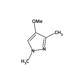 COc1cn(C)nc1C